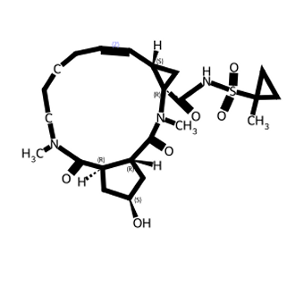 CN1CCCC/C=C\[C@@H]2C[C@@]2(C(=O)NS(=O)(=O)C2(C)CC2)N(C)C(=O)[C@@H]2C[C@@H](O)C[C@H]2C1=O